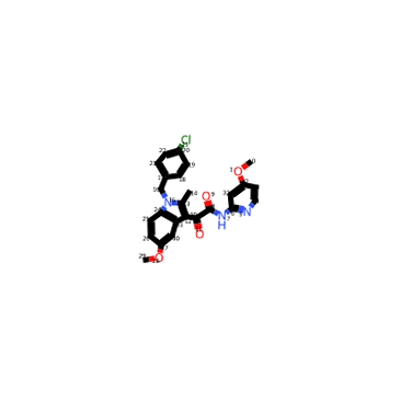 COc1ccnc(NC(=O)C(=O)c2c(C)n(Cc3ccc(Cl)cc3)c3ccc(OC)cc23)c1